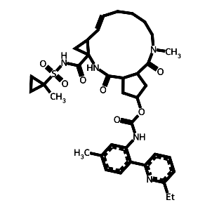 CCc1cccc(-c2ccc(C)cc2NC(=O)OC2CC3C(=O)NC4(C(=O)NS(=O)(=O)C5(C)CC5)CC4/C=C/CCCCN(C)C(=O)C3C2)n1